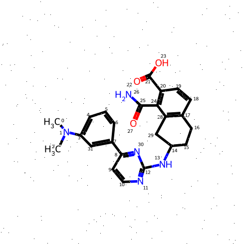 CN(C)c1cccc(-c2ccnc(NC3CCc4ccc(C(=O)O)c(C(N)=O)c4C3)n2)c1